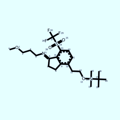 COCCCN=C1CCc2c(CCO[Si](C)(C)C(C)(C)C)ccc(S(=O)(=O)C(F)(F)F)c21